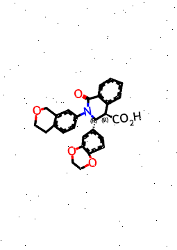 O=C(O)[C@@H]1c2ccccc2C(=O)N(c2ccc3c(c2)COCC3)[C@H]1c1ccc2c(c1)OCCO2